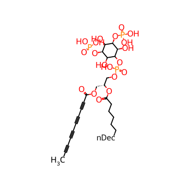 CC#CC#CC#CC#CC(=O)OC[C@H](COP(=O)(O)OC1C(O)[C@@H](OP(=O)(O)O)C(O)[C@@H](OP(=O)(O)O)[C@H]1O)OC(=O)CCCCCCCCCCCCCCC